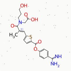 C/C(=C\c1ccc(C(=O)Oc2ccc(C(=N)N)cc2)s1)C(=O)N(CCCO)CC(=O)O